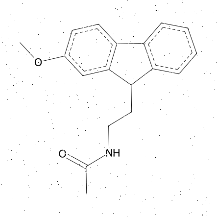 COc1ccc2c(c1)C(CCNC(C)=O)c1ccccc1-2